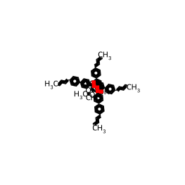 CCCCC[C@H]1CC[C@H](c2ccc(C(O)(c3ccc([C@H]4CC[C@H](CCCCC)CC4)cc3)[C@H]3OC(C)(C)O[C@@H]3C(O)(c3ccc([C@H]4CC[C@H](CCCCC)CC4)cc3)c3ccc([C@H]4CC[C@H](CCCCC)CC4)cc3)cc2)CC1